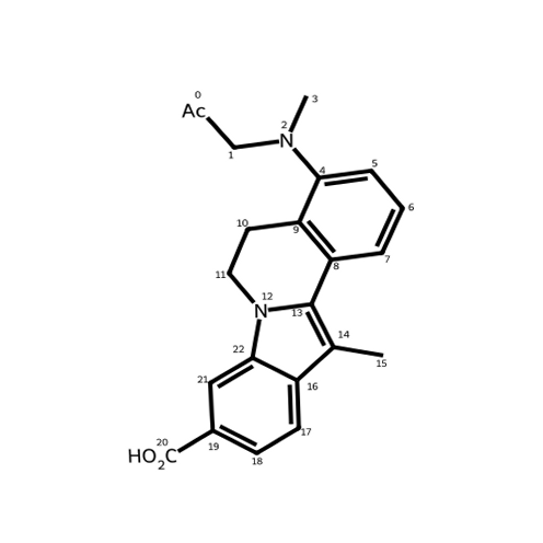 CC(=O)CN(C)c1cccc2c1CCn1c-2c(C)c2ccc(C(=O)O)cc21